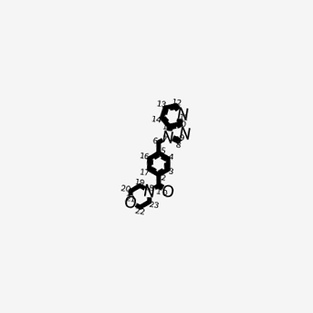 O=C(c1ccc(Cn2cnc3ncccc32)cc1)N1CCOCC1